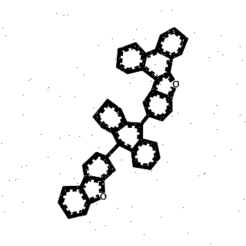 c1ccc2c(c1)oc1cc(-c3c4ccccc4c(-c4ccc5oc6c7ccccc7c7ccccc7c6c5c4)c4ccccc34)ccc12